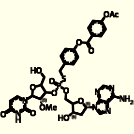 CO[C@H]1C(OP(=O)(OCC2O[C@@H](n3cnc4c(N)ncnc43)C[C@H]2O)SCc2ccc(OC(=O)c3ccc(OC(C)=O)cc3)cc2)C(CO)OC1n1ccc(=O)[nH]c1=O